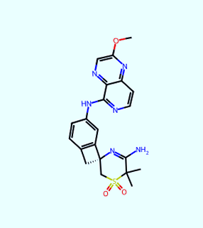 COc1cnc2c(Nc3ccc4c(c3)[C@]3(C4)CS(=O)(=O)C(C)(C)C(N)=N3)nccc2n1